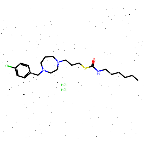 CCCCCCNC(=O)SCCCN1CCCN(Cc2ccc(Cl)cc2)CC1.Cl.Cl